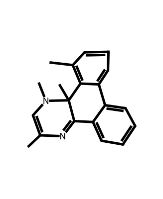 CC1=CN(C)C2(C)C(=N1)c1ccccc1-c1cccc(C)c12